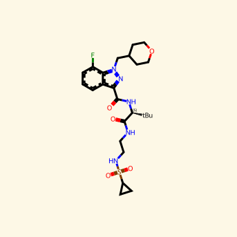 CC(C)(C)[C@H](NC(=O)c1nn(CC2CCOCC2)c2c(F)cccc12)C(=O)NCCNS(=O)(=O)C1CC1